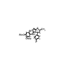 COc1cc(Br)c(Nc2nnc3n2C(c2ccc(F)cc2)CN(C)C3)cc1OC